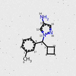 Cc1cccc(C(C2CCC2)n2cc(N)cn2)c1